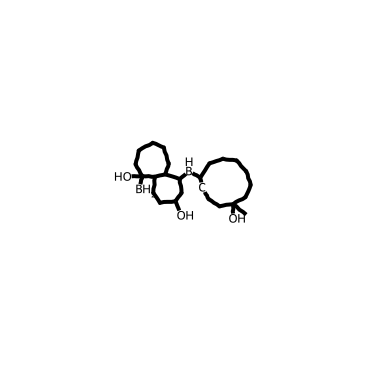 BC1(O)CCCCCC2C(BC3CCCCCCC(C)(O)CCC3)CC(O)CCC21